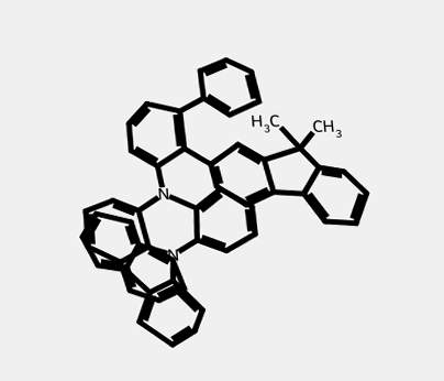 CC1(C)c2ccccc2-c2ccc(-c3c(-c4ccccc4)cccc3N(c3ccccc3-n3c4ccccc4c4ccccc43)c3cccc4ccccc34)cc21